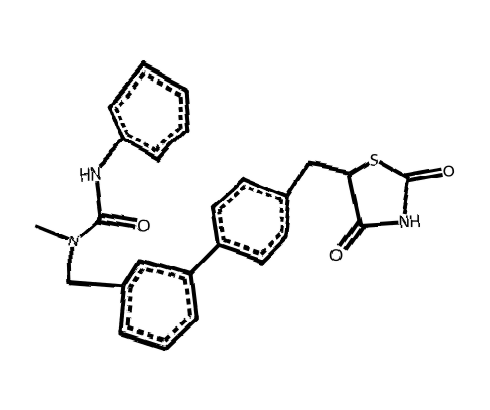 CN(Cc1cccc(-c2ccc(CC3SC(=O)NC3=O)cc2)c1)C(=O)Nc1ccccc1